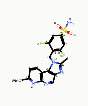 COc1ccc2c(ncc3nc(C)n(Cc4c(F)cc(S(N)(=O)=O)cc4F)c32)n1